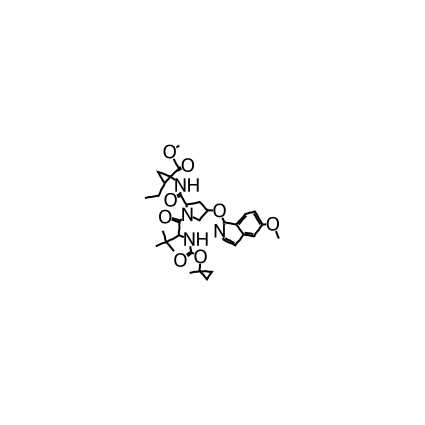 CCC1CC1(NC(=O)C1CC(Oc2nccc3cc(OC)ccc23)CN1C(=O)C(NC(=O)OC1(C)CC1)C(C)(C)C)C(=O)OC